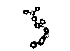 c1ccc(-c2ccc3oc4ccc(-n5c6ccccc6c6c(-c7ccc(-c8cc(-c9ccccc9)nc(-c9ccccc9)n8)cc7)cccc65)cc4c3c2)cc1